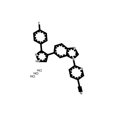 Cl.Cl.Cl.N#Cc1ccc(-n2cnc3ccc(-c4c[nH]nc4-c4ccc(F)cc4)cc32)nc1